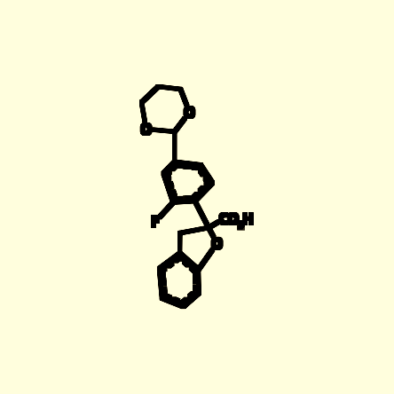 O=C(O)C1(c2ccc(C3OCCCO3)cc2F)Cc2ccccc2O1